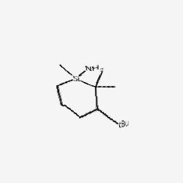 CC(C)(C)C1CCC[Si](C)(N)C1(C)C